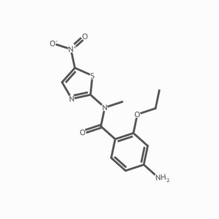 CCOc1cc(N)ccc1C(=O)N(C)c1ncc([N+](=O)[O-])s1